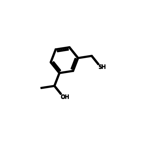 CC(O)c1cccc(CS)c1